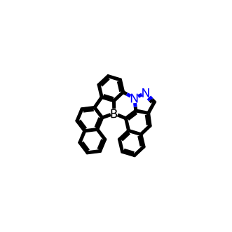 c1cc2c3c(c1)-n1ncc4cc5ccccc5c(c41)B3c1c-2ccc2ccccc12